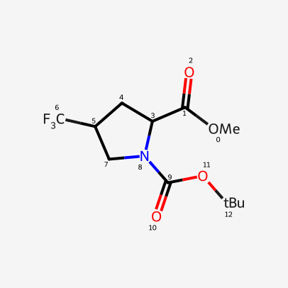 COC(=O)C1CC(C(F)(F)F)CN1C(=O)OC(C)(C)C